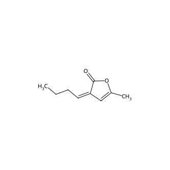 CCCC=C1C=C(C)OC1=O